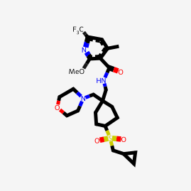 COc1nc(C(F)(F)F)cc(C)c1C(=O)NCC1(CN2CCOCC2)CCC(S(=O)(=O)CC2CC2)CC1